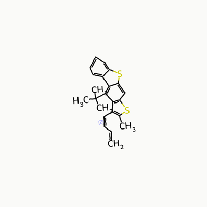 C=C/C=C\c1c(C)sc2cc3sc4ccccc4c3c(C(C)(C)C)c12